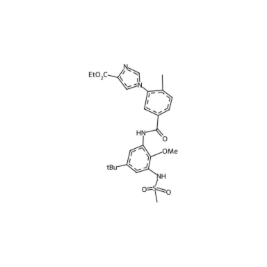 CCOC(=O)c1cn(-c2cc(C(=O)Nc3cc(C(C)(C)C)cc(NS(C)(=O)=O)c3OC)ccc2C)cn1